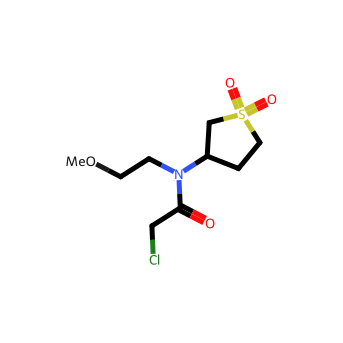 COCCN(C(=O)CCl)C1CCS(=O)(=O)C1